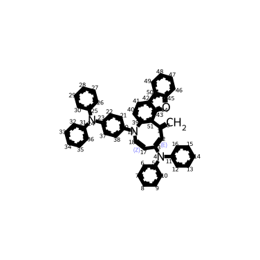 C=C1/C=C(N(c2ccccc2)c2ccccc2)\C=C/N(c2ccc(N(c3ccccc3)c3ccccc3)cc2)c2ccc3c(oc4ccccc43)c21